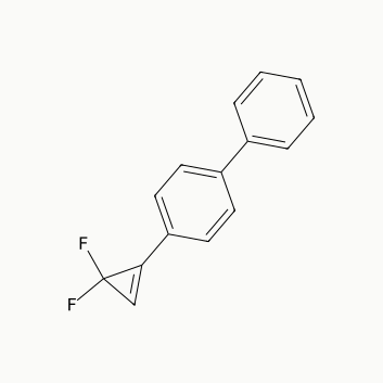 FC1(F)C=C1c1ccc(-c2ccccc2)cc1